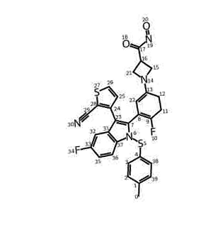 Cc1ccc(Sn2c(C3=C(F)CCC(N4CC(C(=O)N=O)C4)=C3)c(-c3ccsc3C#N)c3cc(F)ccc32)cc1